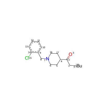 CCC(C)CC(=O)C1CCN(Cc2ccccc2Cl)CC1